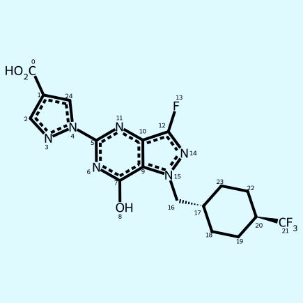 O=C(O)c1cnn(-c2nc(O)c3c(n2)c(F)nn3C[C@H]2CC[C@H](C(F)(F)F)CC2)c1